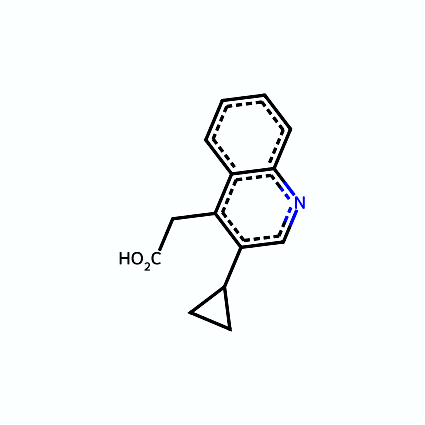 O=C(O)Cc1c(C2CC2)cnc2ccccc12